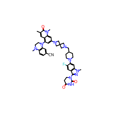 Cc1cc2c(N3CCN(C)c4ccc(C#N)cc43)cc(N3CC4(CN(CC5CCN(c6cc7c(cc6F)c(N6CCC(=O)NC6=O)nn7C)CC5)C4)C3)cc2n(C)c1=O